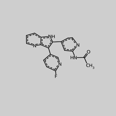 CC(=O)Nc1cc(-c2[nH]c3cccnc3c2-c2ccc(F)nc2)ccn1